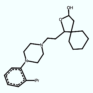 CC(C)c1ccccc1N1CCN(CCC2OC(O)CC23CCCCC3)CC1